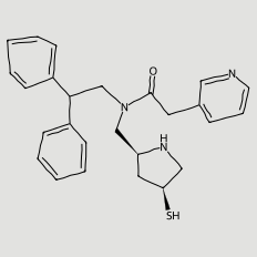 O=C(Cc1cccnc1)N(CC(c1ccccc1)c1ccccc1)C[C@@H]1C[C@H](S)CN1